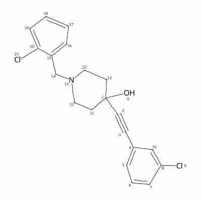 OC1(C#Cc2cccc(Cl)c2)CCN(Cc2ccccc2Cl)CC1